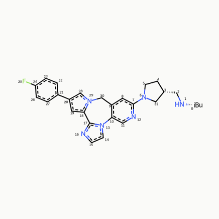 CC[C@@H](C)NC[C@H]1CCN(c2cc3c(cn2)-n2ccnc2-c2cc(-c4ccc(F)cc4)cn2C3)C1